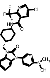 CN(C)c1ccc(-n2c(=O)n(C[C@H]3CC[C@H](NC(=O)c4cc(Cl)cnc4C(F)(F)F)CC3)c3ccccc32)cn1